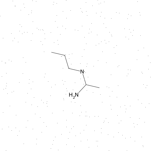 CCC[N]C(C)N